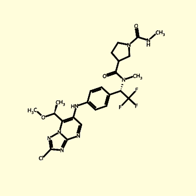 CNC(=O)N1CCC(C(=O)N(C)[C@@H](c2ccc(Nc3cnc4nc(Cl)nn4c3[C@H](C)OC)cc2)C(F)(F)F)C1